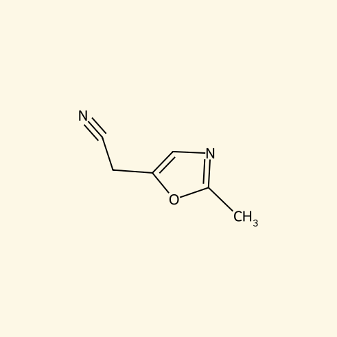 Cc1ncc(CC#N)o1